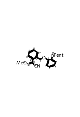 CCCCCc1ccccc1OCc1ccccc1/C(C#N)=N\OC